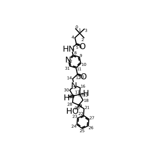 CC(C)(C)CC(=O)Nc1ccc(C(=O)CN2C[C@@H]3C[C@@](O)(Cc4ccccc4)C[C@@H]3C2)cn1